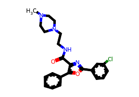 CN1CCN(CCNC(=O)c2nc(-c3cccc(Cl)c3)oc2-c2ccccc2)CC1